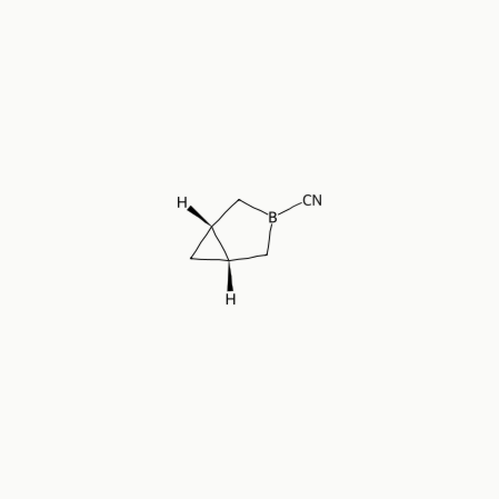 N#CB1C[C@@H]2C[C@@H]2C1